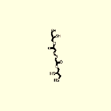 O=C(CSSCC(=O)OCC(S)CS)OCC(S)CS